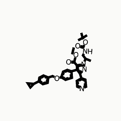 CCOC(=O)c1c(-c2ccc(OCc3ccc(C4CC4)cc3)cc2)c(-c2ccncc2)nn1C(C)CNC(=O)OC(C)(C)C